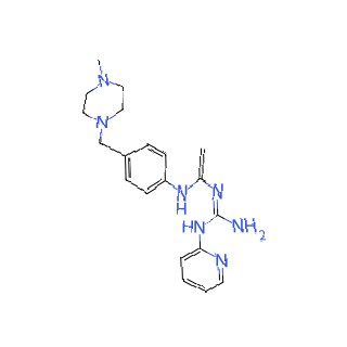 C=C(/N=C(/N)Nc1ccccn1)Nc1ccc(CN2CCN(C)CC2)cc1